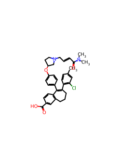 Cc1ccc(C2=C(c3ccc(O[C@H]4CCN(CC=CC(=O)N(C)C)C4)cc3)c3ccc(C(=O)O)cc3CCC2)c(Cl)c1